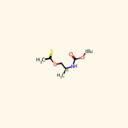 CC(=S)OC[C@H](C)NC(=O)OC(C)(C)C